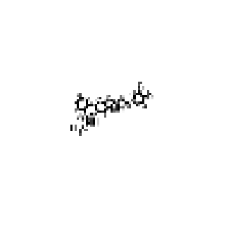 CNS(=O)(=O)c1ccccc1-c1ccc2[nH]c(/C=C/c3ccc(F)c(F)c3)nc2c1